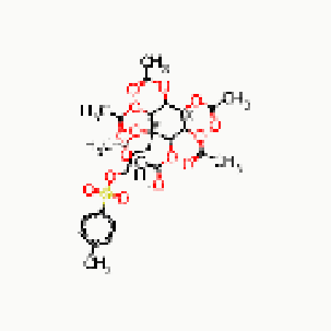 CC(=O)OC1C(OC(C)=O)[C@](CCCOS(=O)(=O)c2ccc(C)cc2)(OC(C)=O)[C@@H](OC(C)=O)C(OC(C)=O)[C@H]1OC(C)=O